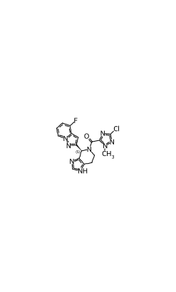 Cn1nc(Cl)nc1C(=O)N1CCc2[nH]cnc2[C@H]1c1cc2c(F)cccn2n1